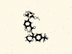 Cc1n[nH]c(=O)n1-c1ccc(Cl)c(C(=O)NCC2(c3ccc(C(F)(F)F)cc3)OCCCO2)c1